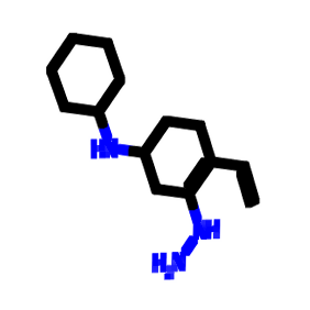 C=CC1=C(NN)CC(NC2CCCCC2)CC1